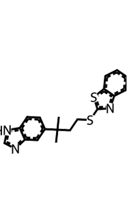 CC(C)(CCSc1nc2ccccc2s1)c1ccc2[nH]cnc2c1